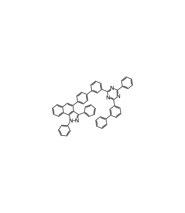 c1ccc(-c2cccc(-c3nc(-c4ccccc4)nc(-c4cccc(-c5ccc(-c6cc7ccccc7c7c6c(-c6ccccc6)nn7-c6ccccc6)cc5)c4)n3)c2)cc1